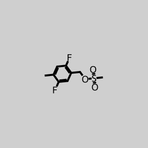 Cc1cc(F)c(COS(C)(=O)=O)cc1F